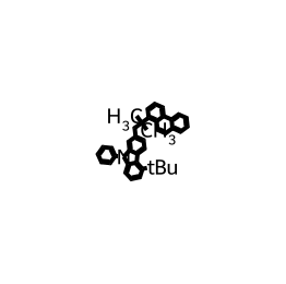 CC(C)(C)c1cccc2c1c1ccc(CC(C)(C)c3cccc4c3ccc3ccccc34)cc1n2-c1ccccc1